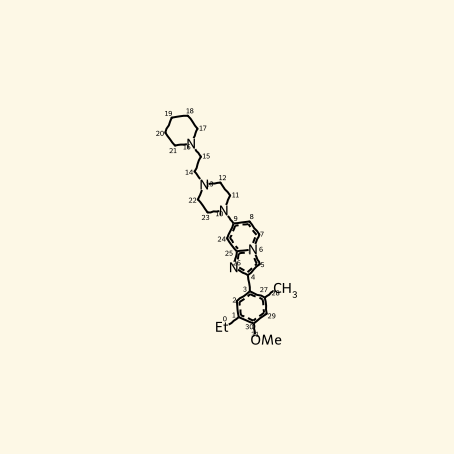 CCc1cc(-c2cn3ccc(N4CCN(CCN5CCCCC5)CC4)cc3n2)c(C)cc1OC